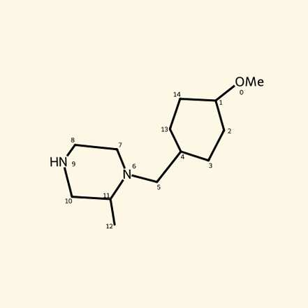 COC1CCC(CN2CCNCC2C)CC1